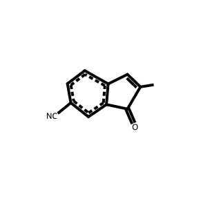 CC1=Cc2ccc(C#N)cc2C1=O